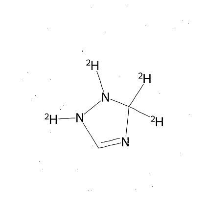 [2H]N1C=NC([2H])([2H])N1[2H]